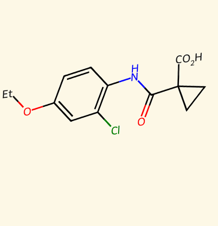 CCOc1ccc(NC(=O)C2(C(=O)O)CC2)c(Cl)c1